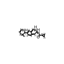 CC1=NC=CNC1c1ccc2c(c1)=CNC(NC(=O)C1CC1)C=2